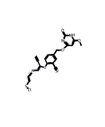 C#C/C(=C\N=C/CSCl)Oc1ccc(COc2cc(OC)[nH]c(=O)n2)cc1C#N